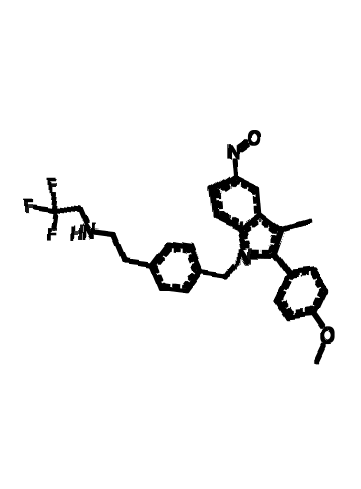 COc1ccc(-c2c(C)c3cc(N=O)ccc3n2Cc2ccc(CCNCC(F)(F)F)cc2)cc1